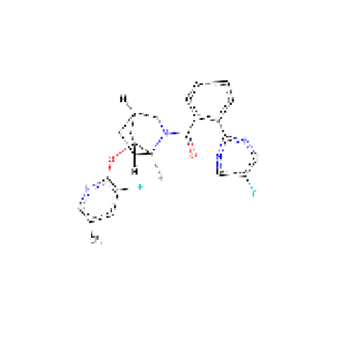 O=C(c1ccccc1-c1ncc(F)cn1)N1C[C@@H]2CC[C@H]1[C@H](Oc1ncc(C(F)(F)F)cc1F)C2